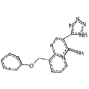 N=c1c(-c2nnn[nH]2)cnc2c(COc3ccccc3)cccn12